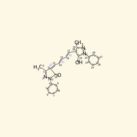 CC1=NN(c2ccccc2)C(=O)\C1=C/C=C/C=C/c1c(C)nn(-c2ccccc2)c1O